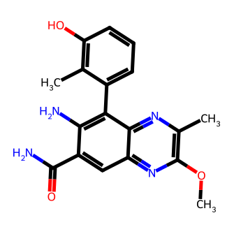 COc1nc2cc(C(N)=O)c(N)c(-c3cccc(O)c3C)c2nc1C